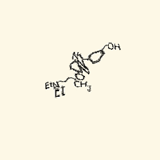 CCN(CC)CCCC(C)Oc1ccc2ncc(-c3cccc(CO)c3)n2n1